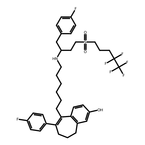 O=S(=O)(CCCC(F)(F)C(F)(F)F)CCC(Cc1ccc(F)cc1)NCCCCCCC1=C(c2ccc(F)cc2)CCCc2cc(O)ccc21